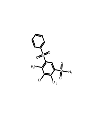 CCc1c(N)c(S(=O)(=O)c2ccccc2)cc(S(N)(=O)=O)c1C(F)(F)F